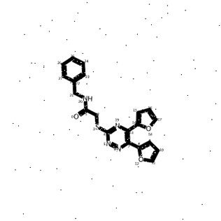 O=C(CSc1nnc(-c2ccco2)c(-c2ccco2)n1)NCc1ccccc1